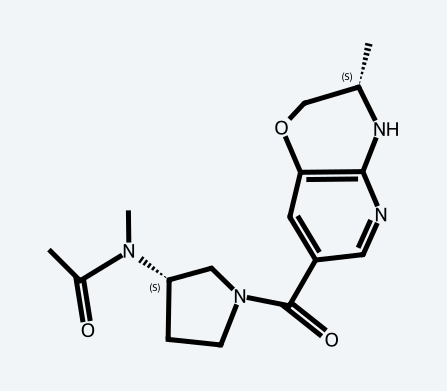 CC(=O)N(C)[C@H]1CCN(C(=O)c2cnc3c(c2)OC[C@H](C)N3)C1